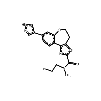 CC(C)CCN(C)C(=O)c1nc2c(s1)CCOc1cc(-c3cn[nH]c3)ccc1-2